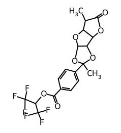 CC1C(=O)OC2C3OC(C)(c4ccc(C(=O)OC(C(F)(F)F)C(F)(F)F)cc4)OC3OC12